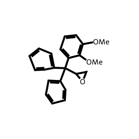 COc1cccc(C(c2ccccc2)(c2ccccc2)C2CO2)c1OC